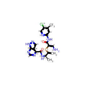 C=C(S/C(=C\N)C(=O)Nc1cc(C(F)(F)F)c(Cl)cn1)[C@@H](C)NC(=O)c1ncnc2[nH]ncc12